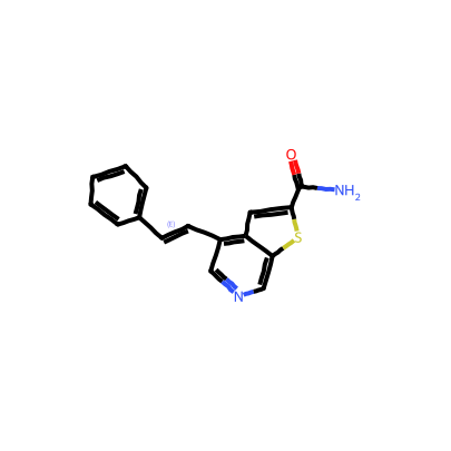 NC(=O)c1cc2c(/C=C/c3ccccc3)cncc2s1